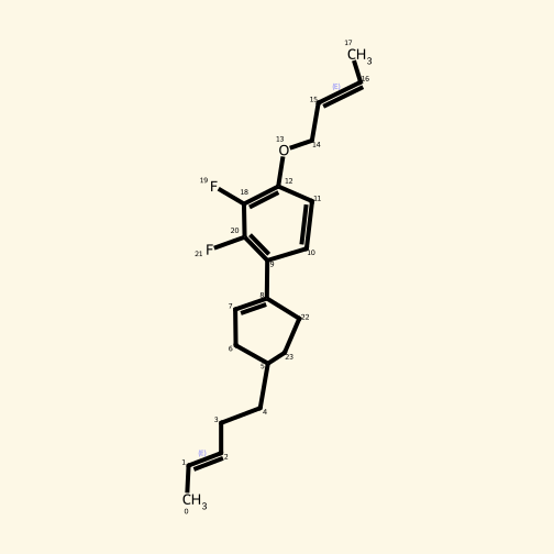 C/C=C/CCC1CC=C(c2ccc(OC/C=C/C)c(F)c2F)CC1